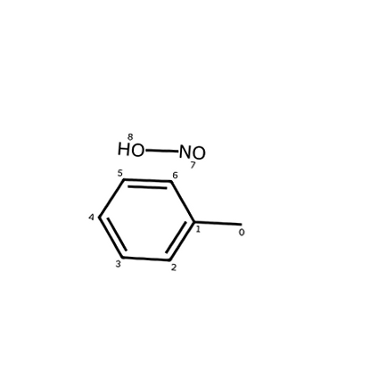 Cc1ccccc1.O=NO